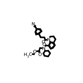 CCOC(=O)CN(C(=O)c1cccc2c1N(C(=O)CCc1ccc(C#N)cc1)CCC2)C1CCCCC1